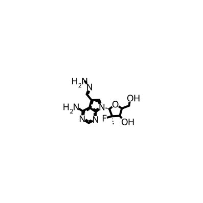 C[C@@]1(F)C(O)C(CO)O[C@H]1n1cc(/C=N/N)c2c(N)ncnc21